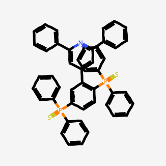 S=P(c1ccccc1)(c1ccccc1)c1ccc(P(=S)(c2ccccc2)c2ccccc2)c(-c2cc(-c3ccccc3)nc(-c3ccccc3)c2)c1